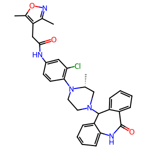 Cc1noc(C)c1CC(=O)Nc1ccc(N2CCN(C3c4ccccc4NC(=O)c4ccccc43)C[C@H]2C)c(Cl)c1